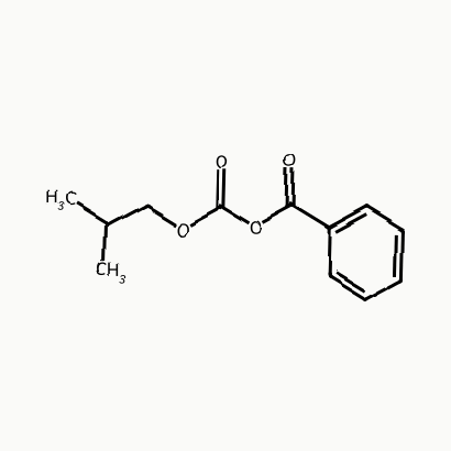 CC(C)COC(=O)OC(=O)c1ccccc1